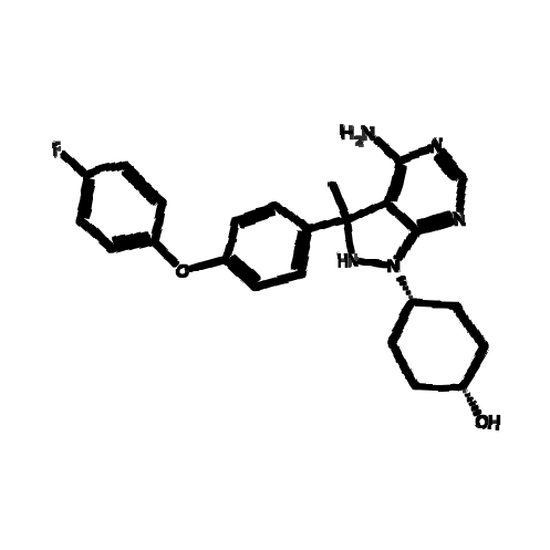 CC1(c2ccc(Oc3ccc(F)cc3)cc2)NN([C@H]2CC[C@@H](O)CC2)c2ncnc(N)c21